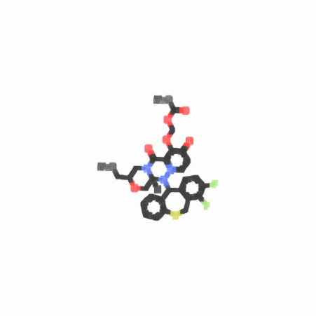 COCC1CN2C(=O)c3c(OCOC(=O)OC)c(=O)ccn3N([C@@H]3c4ccccc4SCc4c3ccc(F)c4F)[C@@H]2CO1